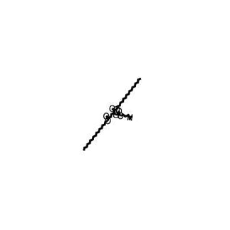 CCCCCCCCCCCCCCCCOC(=O)CCC(OC(=O)OCCCN(C)C)C(=O)OCCCCCCCCCCCCCCCC